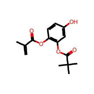 C=C(C)C(=O)Oc1ccc(O)cc1OC(=O)C(C)(C)C